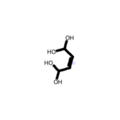 OC(O)/C=C\C(O)O